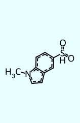 Cn1ccc2cc([SH](=O)=O)ccc21